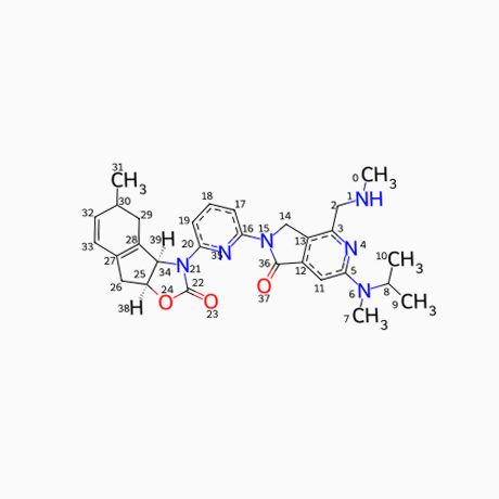 CNCc1nc(N(C)C(C)C)cc2c1CN(c1cccc(N3C(=O)O[C@H]4CC5=C(CC(C)C=C5)[C@H]43)n1)C2=O